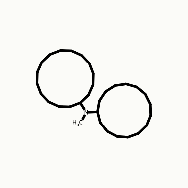 CN(C1CCCCCCCCCCCCCCC1)C1CCCCCCCCCCCCCC1